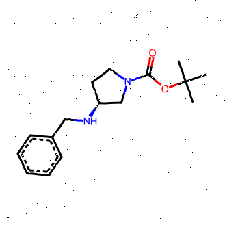 CC(C)(C)OC(=O)N1CC[C@H](NCc2ccccc2)C1